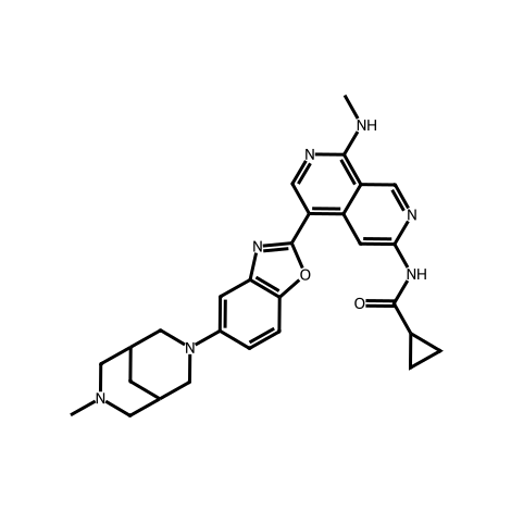 CNc1ncc(-c2nc3cc(N4CC5CC(CN(C)C5)C4)ccc3o2)c2cc(NC(=O)C3CC3)ncc12